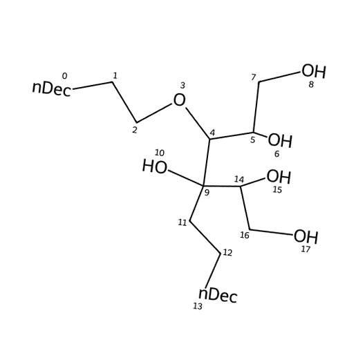 CCCCCCCCCCCCOC(C(O)CO)C(O)(CCCCCCCCCCCC)C(O)CO